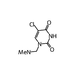 CNCn1cc(Cl)c(=O)[nH]c1=O